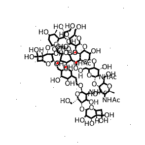 CC(=O)NC1C(O)[C@H](O[C@@H]2OC3CC(O)(O)[C@@H]3[C@H](O)C2O)[C@H](CO)O[C@H]1OCCC1[C@@H](OCC2O[C@@H](O[C@@H]3C(CO)O[C@@H](O[C@@H]4C(CO)O[C@@H](C)C(NC(C)=O)[C@H]4O)C(NC(C)=O)[C@H]3O)C(O)[C@@H](O[C@H]3OC(CO)[C@@H](O)C(O)C3O[C@@H]3OC(CO)[C@@H](O[C@@H]4OC5CC(O)(O)[C@@H]5[C@H](O[C@]5(OC=O)C[C@@H](O)[C@@H](C)C([C@H](O)[C@H](O)CO)O5)C4O)[C@H](O)C3NC(C)=O)[C@@H]2O)OC(CO)[C@@H](O)[C@@H]1O